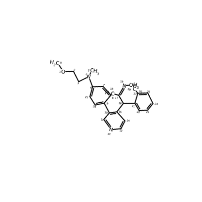 COCCN(C)c1ccc(-c2cnccc2C(/C(C)=N\O)c2ccccc2C)cc1